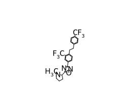 CN1CCCC1c1nc(-c2ccc(CCc3ccc(C(F)(F)F)cc3)c(C(F)(F)F)c2)no1